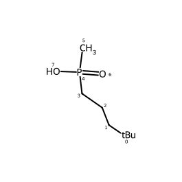 CC(C)(C)CCCP(C)(=O)O